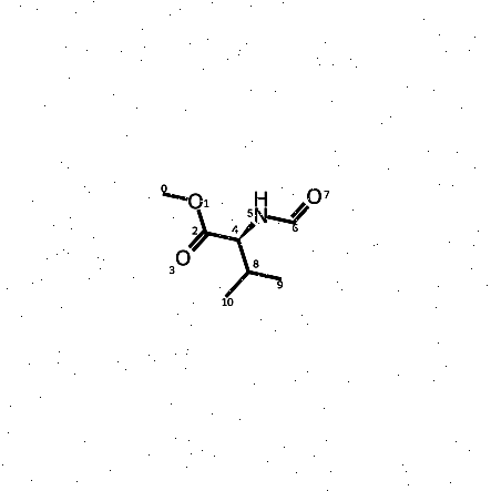 COC(=O)[C@@H](NC=O)C(C)C